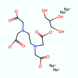 O=C([O-])CN(CCN(CC(=O)[O-])CC(=O)[O-])CC(=O)[O-].OCC(O)CO.[Na+].[Na+].[Na+].[Na+]